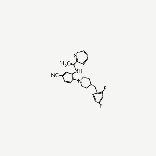 C=C(Nc1cc(C#N)ccc1N1CCC(Cc2ccc(F)cc2F)CC1)C1=NCC=CC=C1